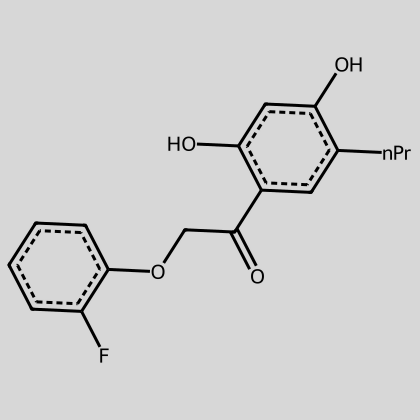 CCCc1cc(C(=O)COc2ccccc2F)c(O)cc1O